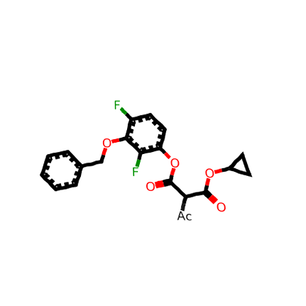 CC(=O)C(C(=O)Oc1ccc(F)c(OCc2ccccc2)c1F)C(=O)OC1CC1